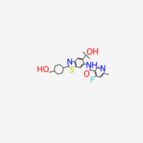 Cc1cc(F)c(C(=O)Nc2cc3sc(C4CCC(CO)CC4)nc3cc2C(C)(C)O)cn1